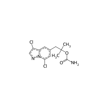 CC(C)(Cc1cc(Cl)n2ncc(Cl)c2c1)OC(N)=O